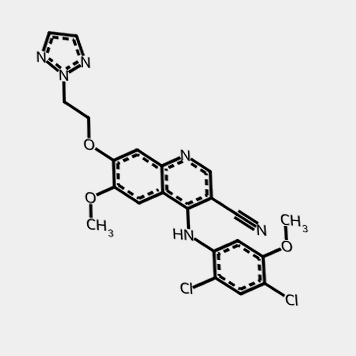 COc1cc(Nc2c(C#N)cnc3cc(OCCn4nccn4)c(OC)cc23)c(Cl)cc1Cl